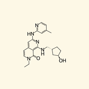 CCn1ccc2cc(Nc3cc(C)ccn3)nc(NC[C@@H]3CC[C@@H](O)C3)c2c1=O